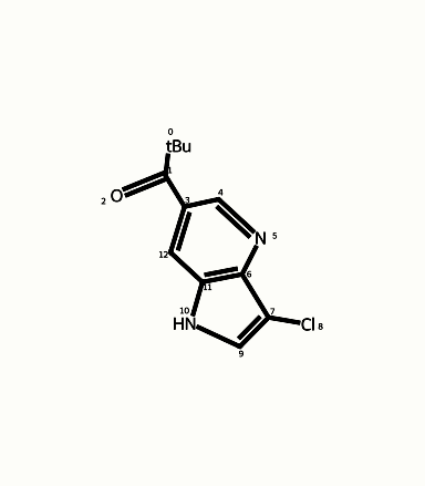 CC(C)(C)C(=O)c1cnc2c(Cl)c[nH]c2c1